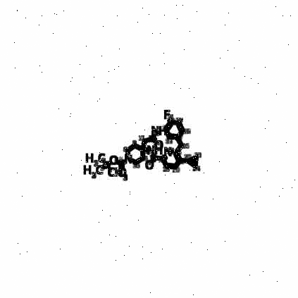 CC(C)(C)OC(=O)N1CCC(CC(N)=O)(NC(=O)c2ccc(C3CC3)c(Cc3ccc(F)cc3)n2)CC1